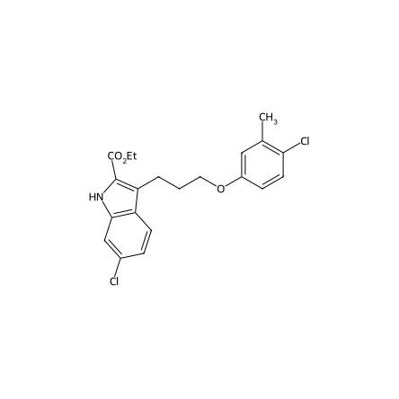 CCOC(=O)c1[nH]c2cc(Cl)ccc2c1CCCOc1ccc(Cl)c(C)c1